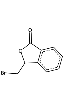 O=C1OC(CBr)c2ccccc21